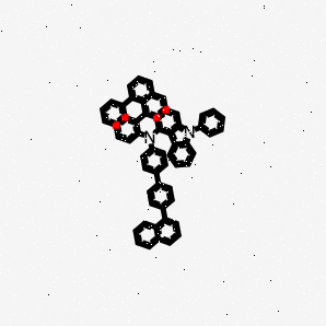 c1ccc(-c2cccc3cccc(-c4ccccc4N(c4ccc(-c5ccc(-c6cccc7ccccc67)cc5)cc4)c4cccc5c4c4ccccc4n5-c4ccccc4)c23)cc1